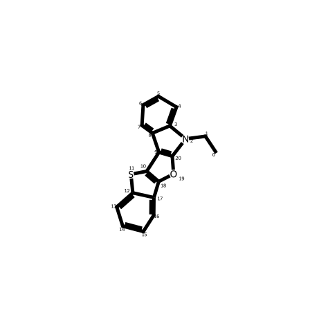 CCn1c2ccccc2c2c3sc4ccccc4c3oc21